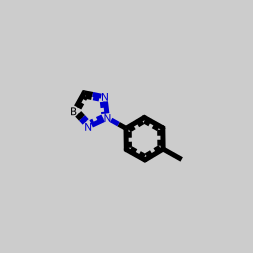 Cc1ccc(-n2nbcn2)cc1